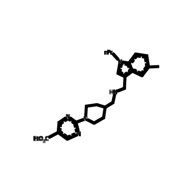 CCCn1cc(CNCC2CCN(c3ncc(C(=O)OCC)cn3)CC2)c2cc(C)ccc21